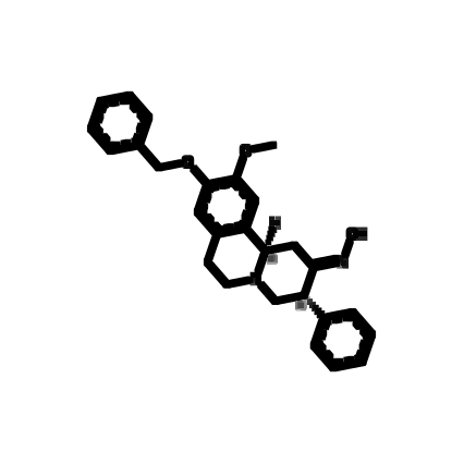 COc1cc2c(cc1OCc1ccccc1)CCN1C[C@@H](c3ccccc3)C(=NO)C[C@H]21